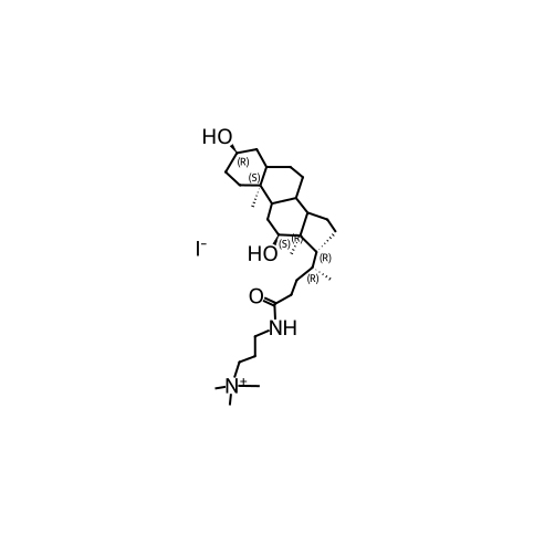 C[C@H](CCC(=O)NCCC[N+](C)(C)C)[C@H]1CCC2C3CCC4C[C@H](O)CC[C@]4(C)C3C[C@H](O)[C@@]21C.[I-]